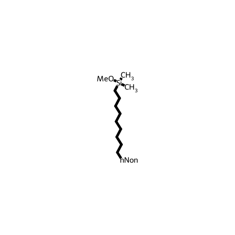 [CH2]CCCCCCCCCCCCCCCCC[Si](C)(C)OC